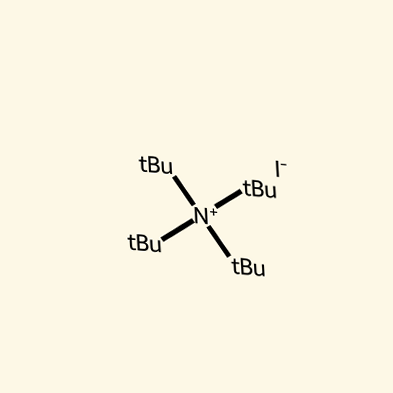 CC(C)(C)[N+](C(C)(C)C)(C(C)(C)C)C(C)(C)C.[I-]